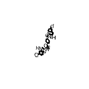 O=C(Nc1ccc2cc(Cl)ccc2n1)[C@H]1CC[C@H](c2nnc([C@H]3CNc4cc(Cl)ccc4O3)o2)CC1